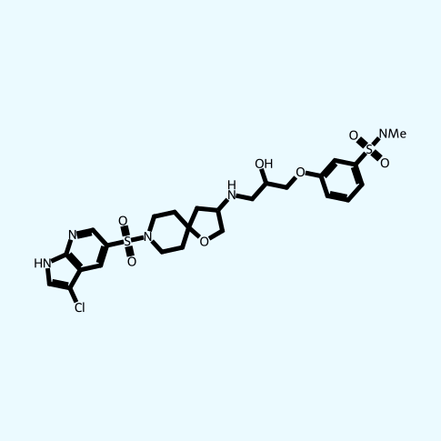 CNS(=O)(=O)c1cccc(OCC(O)CNC2COC3(CCN(S(=O)(=O)c4cnc5[nH]cc(Cl)c5c4)CC3)C2)c1